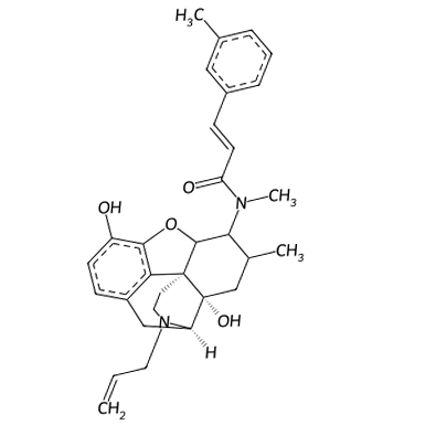 C=CCN1CC[C@]23c4c5ccc(O)c4OC2C(N(C)C(=O)/C=C/c2cccc(C)c2)C(C)C[C@@]3(O)[C@H]1C5